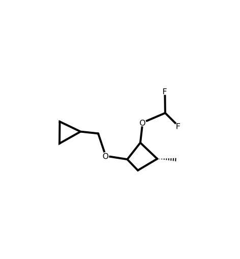 C[C@@H]1CC(OCC2CC2)C1OC(F)F